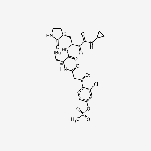 CC[C@H](CC(=O)N[C@@H](CC(C)(C)C)C(=O)NC(C[C@@H]1CCNC1=O)C(=O)C(=O)NC1CC1)c1ccc(OS(C)(=O)=O)cc1Cl